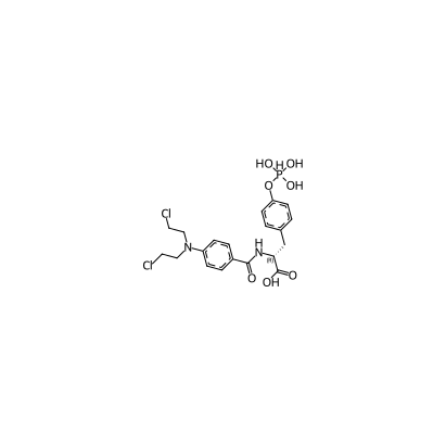 O=C(N[C@H](Cc1ccc(O[PH](O)(O)O)cc1)C(=O)O)c1ccc(N(CCCl)CCCl)cc1